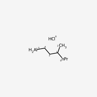 CCCC(C)C[CH2][AlH2].Cl